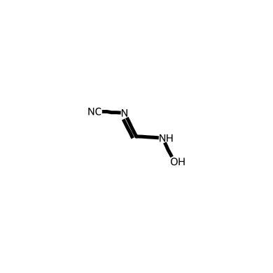 N#CN=CNO